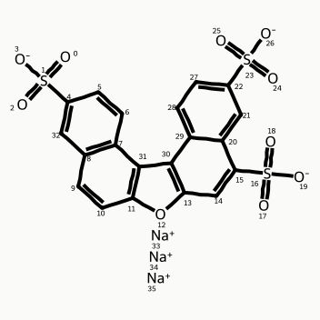 O=S(=O)([O-])c1ccc2c(ccc3oc4cc(S(=O)(=O)[O-])c5cc(S(=O)(=O)[O-])ccc5c4c32)c1.[Na+].[Na+].[Na+]